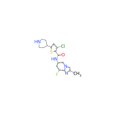 Cc1cn2cc(NC(=O)c3sc(C4CCNCC4)cc3Cl)cc(F)c2n1